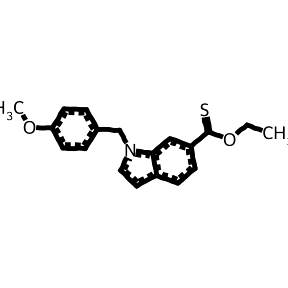 CCOC(=S)c1ccc2ccn(Cc3ccc(OC)cc3)c2c1